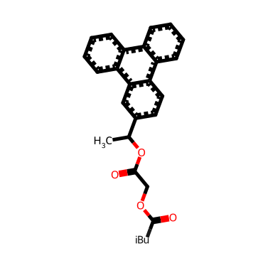 CCC(C)C(=O)OCC(=O)OC(C)c1ccc2c3ccccc3c3ccccc3c2c1